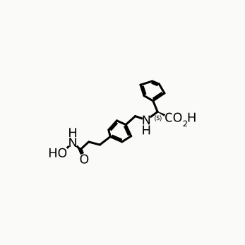 O=C(CCc1ccc(CN[C@H](C(=O)O)c2ccccc2)cc1)NO